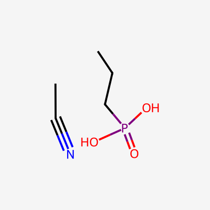 CC#N.CCCP(=O)(O)O